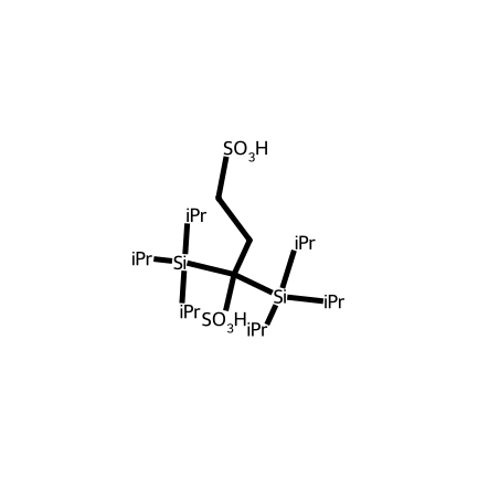 CC(C)[Si](C(C)C)(C(C)C)C(CCS(=O)(=O)O)([Si](C(C)C)(C(C)C)C(C)C)S(=O)(=O)O